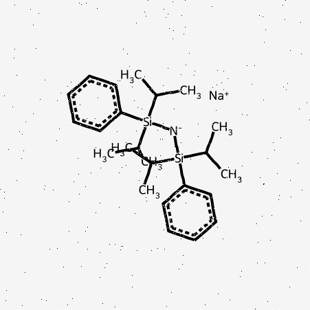 CC(C)[Si]([N-][Si](c1ccccc1)(C(C)C)C(C)C)(c1ccccc1)C(C)C.[Na+]